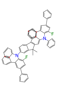 CC1(C)c2cc(N(c3ccccc3)c3c(F)cc(-c4ccccc4)cc3-c3ccccc3)ccc2-c2c1cc(N(c1ccccc1)c1c(F)cc(-c3ccccc3)cc1-c1ccccc1)c1ccccc21